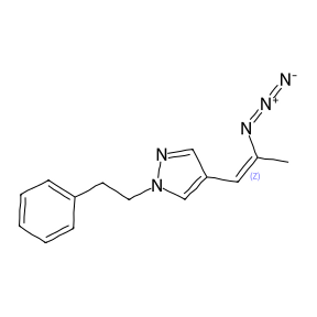 C/C(=C/c1cnn(CCc2ccccc2)c1)N=[N+]=[N-]